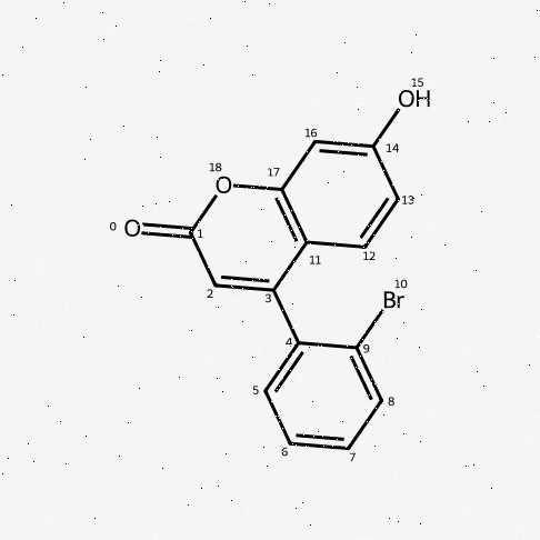 O=c1cc(-c2ccccc2Br)c2ccc(O)cc2o1